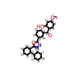 COc1ccc(C(=O)c2cccc(-c3nnc(-c4ccccc4-c4ccccc4)o3)c2)c(O)c1